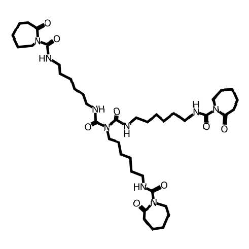 O=C1CCCCCN1C(=O)NCCCCCCNC(=O)N(CCCCCCNC(=O)N1CCCCCC1=O)C(=O)NCCCCCCNC(=O)N1CCCCCC1=O